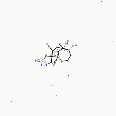 C[C@H]1[C@H]2CCC[C@H]3[C@@H]1[C@@H](C2)[C@@]3(CN)CC(=O)O